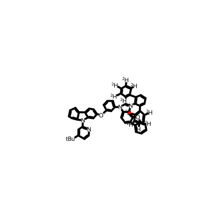 [2H]c1c([2H])c([2H])c(-c2cccc(-c3c([2H])c([2H])c([2H])c([2H])c3[2H])c2-[n+]2cn(-c3cccc(Oc4ccc5c6ccccc6n(-c6cc(C(C)(C)C)ccn6)c5c4)c3)c3ccc4c5ccccc5oc4c32)c([2H])c1[2H]